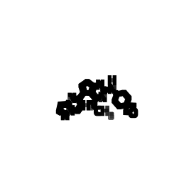 CNc1nc(NC2CCC3(CC2)COC3)nc2c1C(c1ccn3nccc3n1)=CC2